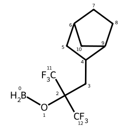 BOC(CC1CC2CCC1C2)(C(F)(F)F)C(F)(F)F